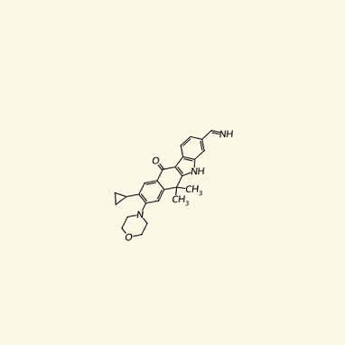 CC1(C)c2cc(N3CCOCC3)c(C3CC3)cc2C(=O)c2c1[nH]c1cc(C=N)ccc21